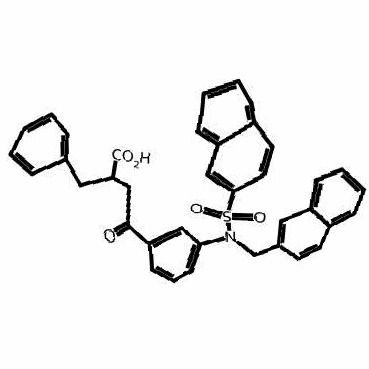 O=C(CC(Cc1ccccc1)C(=O)O)c1cccc(N(Cc2ccc3ccccc3c2)S(=O)(=O)c2ccc3ccccc3c2)c1